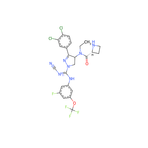 CCN(C(=O)[C@H]1CCN1)C1CN(/C(=N\C#N)Nc2cc(F)cc(OC(F)(F)F)c2)N=C1c1ccc(Cl)c(Cl)c1